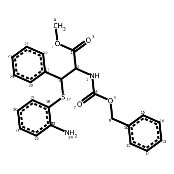 COC(=O)C(NC(=O)OCc1ccccc1)C(Sc1ccccc1N)c1ccccc1